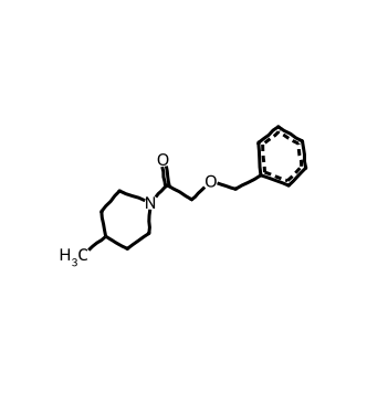 CC1CCN(C(=O)COCc2ccccc2)CC1